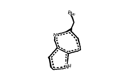 Brc1ccc2[nH]ccc2n1